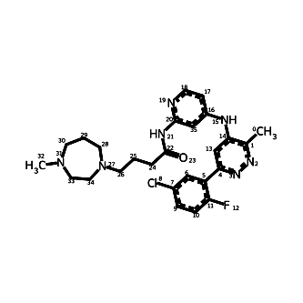 Cc1nnc(-c2cc(Cl)ccc2F)cc1Nc1ccnc(NC(=O)CCCN2CCCN(C)CC2)c1